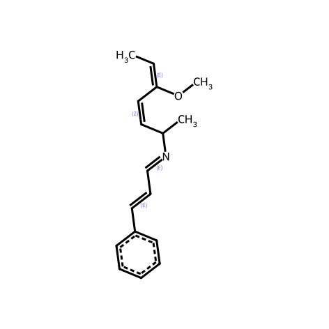 C/C=C(\C=C/C(C)/N=C/C=C/c1ccccc1)OC